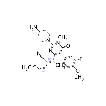 C=C/C=C\C(C#N)=C(/C)c1nc(N2CCC(N)CC2)n(C)c(=O)c1-c1ccc(OC)c(F)c1